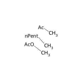 CC(C)=O.CCCCCC.COC(C)=O